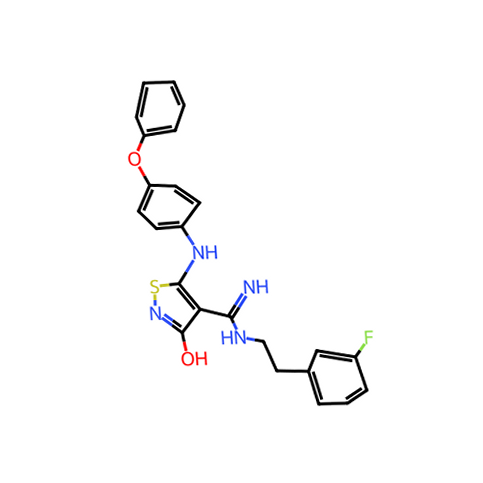 N=C(NCCc1cccc(F)c1)c1c(O)nsc1Nc1ccc(Oc2ccccc2)cc1